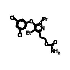 CCc1c(CCOC(N)=O)nn(C(C)C)c1Oc1cc(Cl)cc(Cl)c1